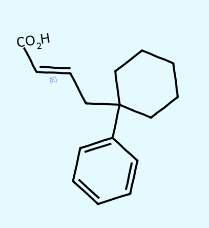 O=C(O)/C=C/CC1(c2ccccc2)CCCCC1